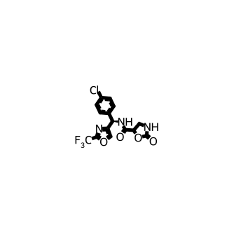 O=C1NCC(C(=O)N[C@H](c2ccc(Cl)cc2)c2coc(C(F)(F)F)n2)O1